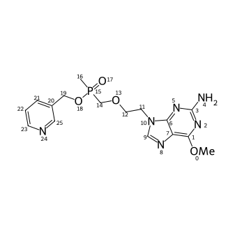 COc1nc(N)nc2c1ncn2CCOCP(C)(=O)OCc1cccnc1